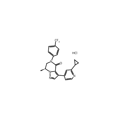 C[C@H]1CN(c2ccc(C(F)(F)F)cc2)C(=O)c2c(-c3ccnc(C4CC4)c3)cnn21.Cl